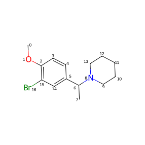 COc1ccc(C(C)N2CCCCC2)cc1Br